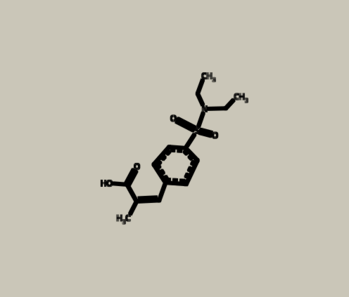 CCN(CC)S(=O)(=O)c1ccc(C=C(C)C(=O)O)cc1